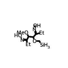 CCC(=NO)C(OC)C(OC[SiH3])C(CC)=NO